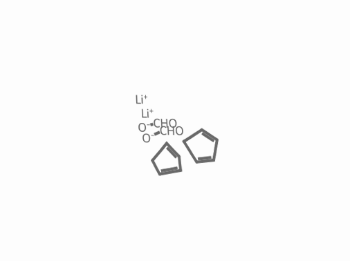 C1=CCC=C1.C1=CCC=C1.O=C[O-].O=C[O-].[Li+].[Li+]